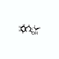 C=CC[C@H](CO)Cc1ccccc1